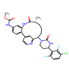 COC(=O)Nc1ccc2c(c1)NC(=O)[C@H](C)CCCC(N1CCC(c3c(F)ccc(Cl)c3F)NC1=O)c1cc-2ccn1